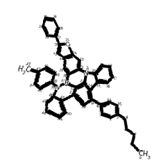 CCCCCc1ccc(-c2cc3c4c5c2c2ccccc2n5-c2cc5oc(-c6ccccc6)cc5cc2B4N(c2ccc(C)cc2)c2ccccc2-3)cc1